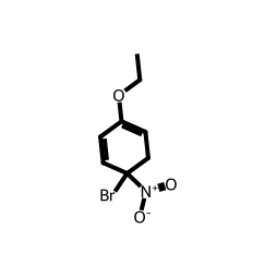 CCOC1=CCC(Br)([N+](=O)[O-])C=C1